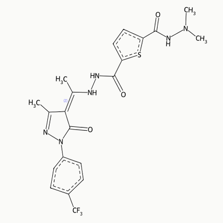 CC1=NN(c2ccc(C(F)(F)F)cc2)C(=O)/C1=C(/C)NNC(=O)c1ccc(C(=O)NN(C)C)s1